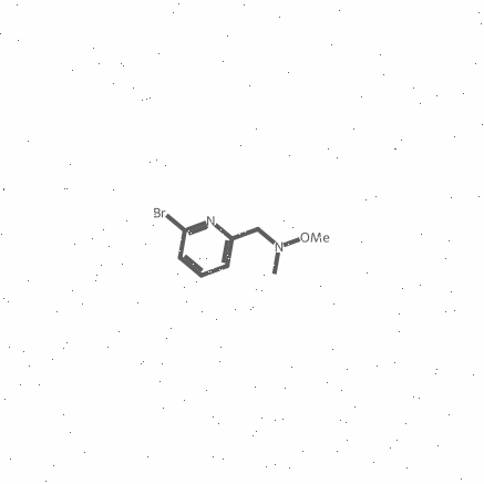 CON(C)Cc1cccc(Br)n1